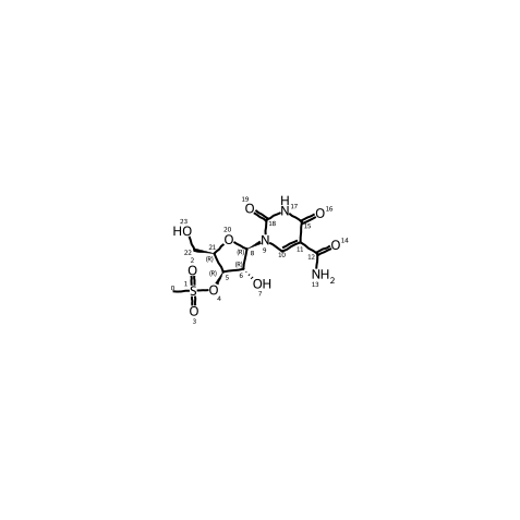 CS(=O)(=O)O[C@@H]1[C@@H](O)[C@H](n2cc(C(N)=O)c(=O)[nH]c2=O)O[C@@H]1CO